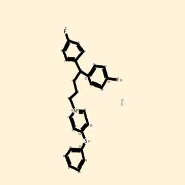 Fc1ccc(C(CCC[n+]2ccc(Sc3ccccc3)cc2)c2ccc(F)cc2)cc1.[I-]